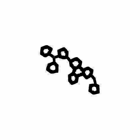 c1ccc(Cc2ccc3c4ccc(-c5cccc(N(c6ccccc6)c6ccccc6)c5)cc4c4ccccc4c3c2)cc1